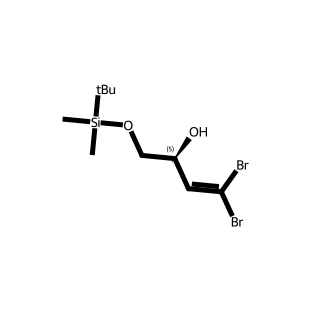 CC(C)(C)[Si](C)(C)OC[C@@H](O)C=C(Br)Br